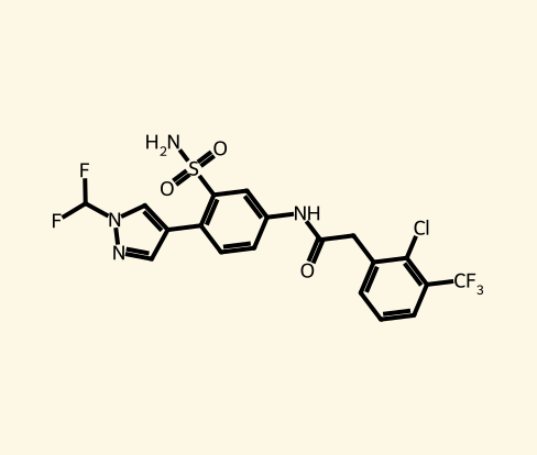 NS(=O)(=O)c1cc(NC(=O)Cc2cccc(C(F)(F)F)c2Cl)ccc1-c1cnn(C(F)F)c1